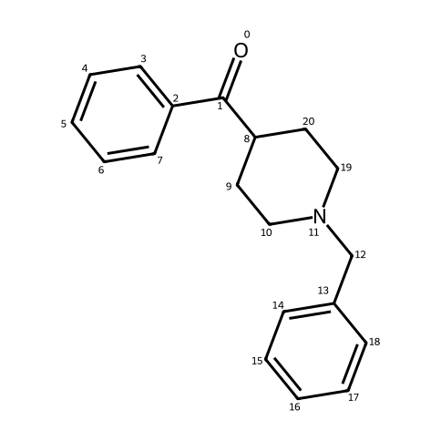 O=C(c1ccccc1)C1CCN(Cc2ccccc2)CC1